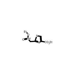 CCOC(=O)c1csc(C[PH](=O)OCC)n1